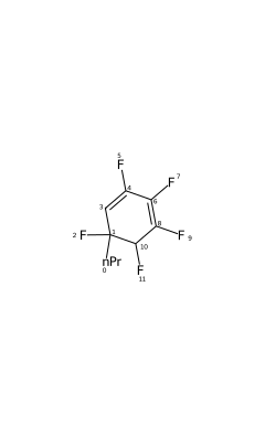 [CH2]CCC1(F)C=C(F)C(F)=C(F)C1F